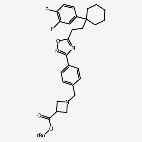 CC(C)(C)OC(=O)C1CN(Cc2ccc(-c3noc(CCC4(c5ccc(F)c(F)c5)CCCCC4)n3)cc2)C1